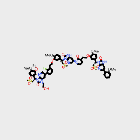 CCOc1cc([C@H](CS(C)(=O)=O)n2c(=O)n(CCO)c3cc(-c4cccc(CCOc5cc([C@H](CS(C)(=O)=O)n6c(=O)[nH]c7cc(-n8cccc(CCOc9cc([C@H](CS(C)(=O)=O)n%10c(=O)[nH]c%11cc(-c%12ccccc%12OC)cnc%11%10)ccc9OC)c8=O)cnc76)ccc5OC)c4F)cnc32)ccc1OC